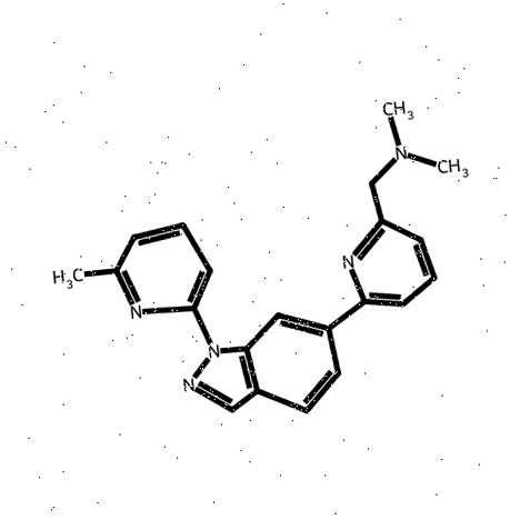 Cc1cccc(-n2ncc3ccc(-c4cccc(CN(C)C)n4)cc32)n1